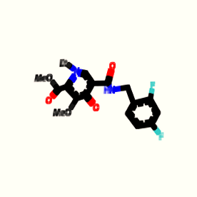 CCn1cc(C(=O)NCc2ccc(F)cc2F)c(=O)c(OC)c1C(=O)OC